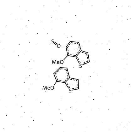 COc1cccc2ccsc12.COc1cccc2ccsc12.O=S